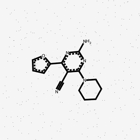 N#Cc1c(-c2ccco2)nc(N)nc1N1CCCCC1